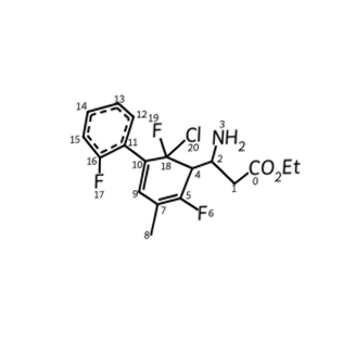 CCOC(=O)CC(N)C1C(F)=C(C)C=C(c2ccccc2F)C1(F)Cl